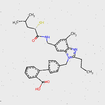 CCCc1nc2c(C)cc(CNC(=O)[C@@H](S)CC(C)C)cc2n1Cc1ccc(-c2ccccc2C(=O)O)cc1